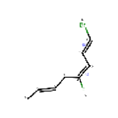 CC=CC/C(F)=C\C=C\Br